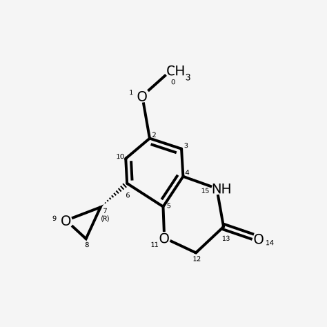 COc1cc2c(c([C@@H]3CO3)c1)OCC(=O)N2